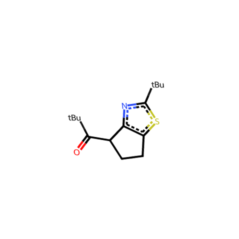 CC(C)(C)C(=O)C1CCc2sc(C(C)(C)C)nc21